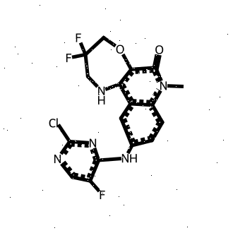 Cn1c(=O)c2c(c3cc(Nc4nc(Cl)ncc4F)ccc31)NCC(F)(F)CO2